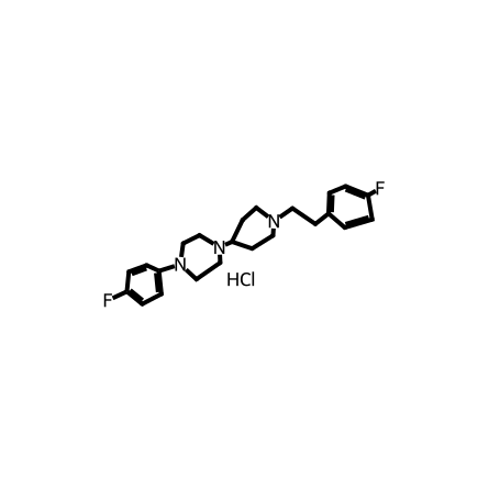 Cl.Fc1ccc(CCN2CCC(N3CCN(c4ccc(F)cc4)CC3)CC2)cc1